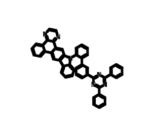 c1ccc(-c2nc(-c3ccccc3)nc(-c3cccc(-c4ccccc4-n4c5ccccc5c5cc6c7ccccc7c7nccnc7c6cc54)c3)n2)cc1